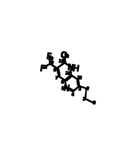 CCCc1cnc2cc(C(F)F)c(=O)[nH]c2c1